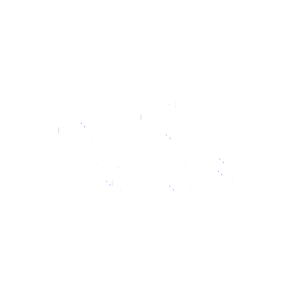 CC(C)Cn1c2ccc(C(OC(N)=O)c3ccc(N(C)C)cc3)cc2c2c3c(c4c(c21)CCc1nn(C)cc1-4)C(=O)NC3